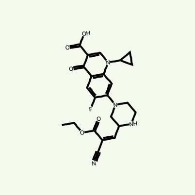 CCOC(=O)C(C#N)=CC1CN(c2cc3c(cc2F)c(=O)c(C(=O)O)cn3C2CC2)CCN1